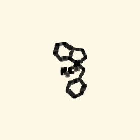 C[N@+]1(Cc2ccccc2)CCc2ccccc21